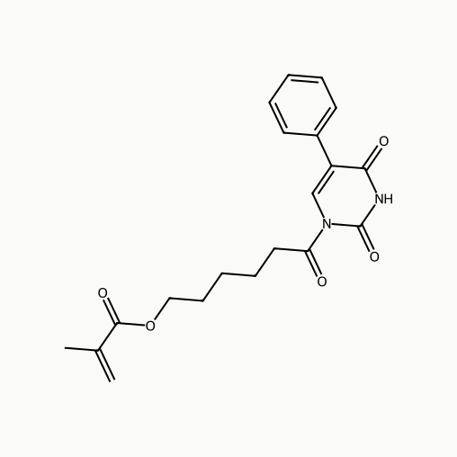 C=C(C)C(=O)OCCCCCC(=O)n1cc(-c2ccccc2)c(=O)[nH]c1=O